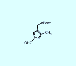 CCCCCCc1cc(C=O)cn1C